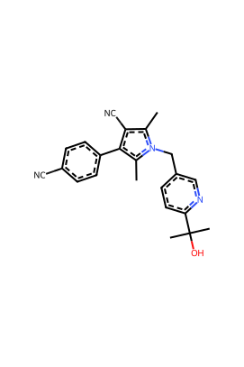 Cc1c(C#N)c(-c2ccc(C#N)cc2)c(C)n1Cc1ccc(C(C)(C)O)nc1